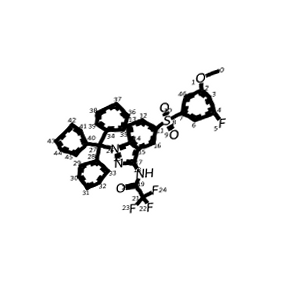 COc1cc(F)cc(S(=O)(=O)c2ccc3c(c2)c(NC(=O)C(F)(F)F)nn3C(c2ccccc2)(c2ccccc2)c2ccccc2)c1